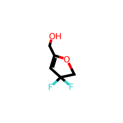 OCC1=CC(F)(F)CO1